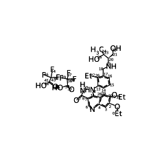 CCOc1cc2ncc(C(N)=O)c(Nc3cccc(CN[C@H](CO)[C@H](C)O)c3CC)c2cc1OCC.O=C(O)C(F)(F)F.O=C(O)C(F)(F)F